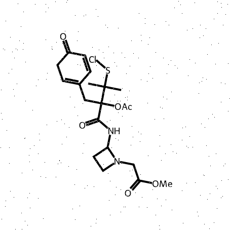 COC(=O)CN1CCC1NC(=O)C(CC1=CCC(=O)C=C1)(OC(C)=O)C(C)(C)SCl